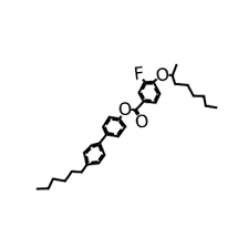 CCCCCCc1ccc(-c2ccc(OC(=O)c3ccc(OC(C)CCCCCC)c(F)c3)cc2)cc1